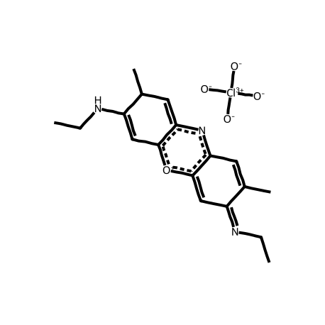 CC/N=C1/C=c2[o+]c3c(nc2C=C1C)=CC(C)C(NCC)=C3.[O-][Cl+3]([O-])([O-])[O-]